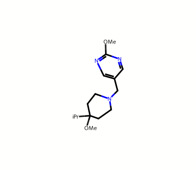 COc1ncc(CN2CCC(OC)(C(C)C)CC2)cn1